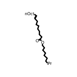 CCCCCCCC/C=C/CCCCCCCC(=O)OCCCCCCCC(C)C